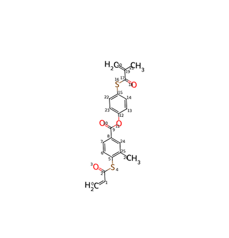 C=CC(=O)Sc1ccc(C(=O)Oc2ccc(SC(=O)C(=C)C)cc2)cc1C